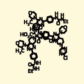 CCNC(=O)Nc1ccc(-c2nc3c(c(N4CCOCC4C)n2)CCN(C(C(=O)O)[C@](C(=O)NCCO)(N2CCc4c(nc(-c5ccc(NC(=O)NCC)cc5)nc4N4CCOCC4C)C2)N(C(=O)NCC)c2ccc(-c4nc5c(c(N6CCOCC6)n4)CCN(c4cnc(Cl)cn4)C5)cc2)C3)cc1